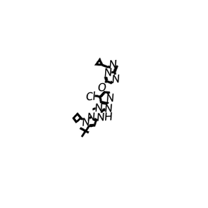 Cn1c(Nc2cc(C(C)(C)C)n(C3CCC3)n2)nc2ncc(Oc3cnc4cnc(C5CC5)n4c3)c(Cl)c21